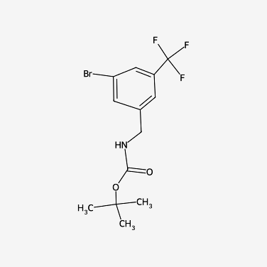 CC(C)(C)OC(=O)NCc1cc(Br)cc(C(F)(F)F)c1